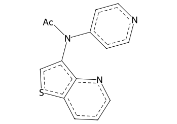 CC(=O)N(c1ccncc1)c1csc2cccnc12